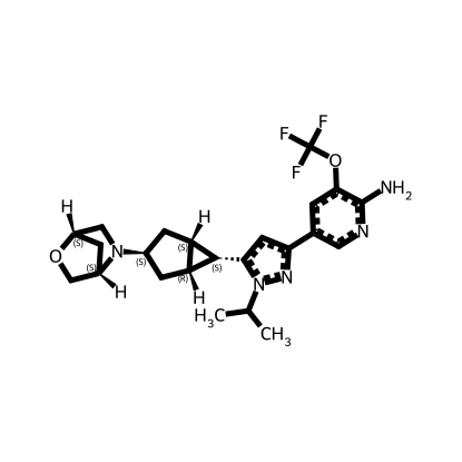 CC(C)n1nc(-c2cnc(N)c(OC(F)(F)F)c2)cc1[C@@H]1[C@@H]2C[C@@H](N3C[C@@H]4C[C@H]3CO4)C[C@@H]21